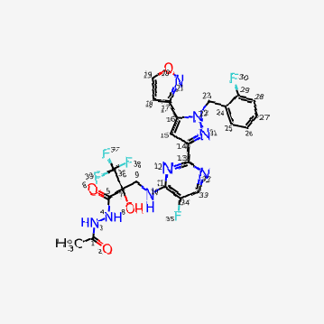 CC(=O)NNC(=O)C(O)(CNc1nc(-c2cc(-c3ccon3)n(Cc3ccccc3F)n2)ncc1F)C(F)(F)F